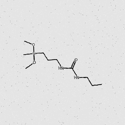 CCCNC(=O)NCCC[Si](C)(OC)OC